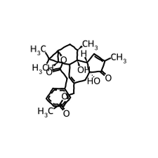 CC(=O)OCC1=CC2[C@@H]3C(C)(C)[C@]3(OC(=O)Cc3ccccc3)C[C@@H](C)[C@]2(O)[C@@H]2C=C(C)C(=O)[C@@]2(O)C1